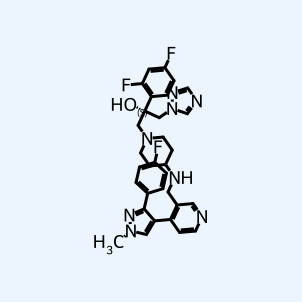 Cn1cc(-c2ccncc2CNC2CCN(C[C@](O)(Cn3cncn3)c3ccc(F)cc3F)CC2)c(-c2ccc(F)cc2)n1